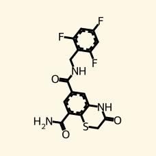 NC(=O)c1cc(C(=O)NCc2c(F)cc(F)cc2F)cc2c1SCC(=O)N2